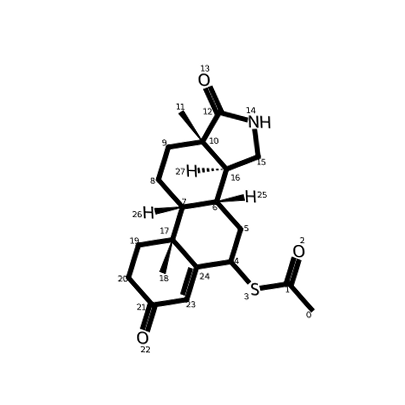 CC(=O)SC1C[C@@H]2[C@@H](CC[C@]3(C)C(=O)NC[C@@H]23)[C@@]2(C)CCC(=O)C=C12